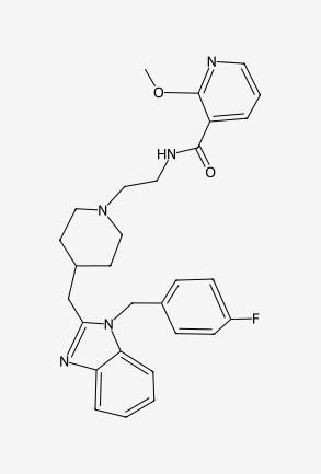 COc1ncccc1C(=O)NCCN1CCC(Cc2nc3ccccc3n2Cc2ccc(F)cc2)CC1